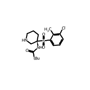 Cc1c(Cl)cccc1S(=O)(=O)[C@@]1(NC(=O)C(C)(C)C)CCCNC1